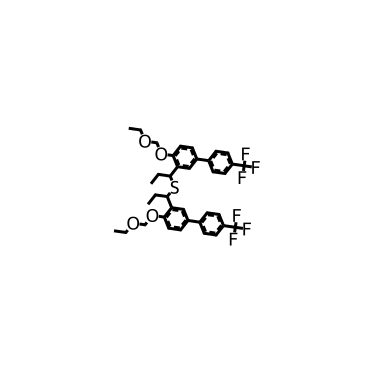 CCOCOc1ccc(-c2ccc(C(F)(F)F)cc2)cc1C(CC)SC(CC)c1cc(-c2ccc(C(F)(F)F)cc2)ccc1OCOCC